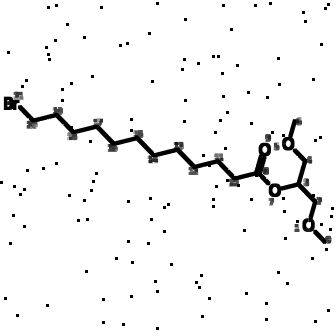 COCC(COC)OC(=O)CCCCCCCCCCCBr